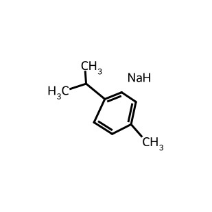 Cc1ccc(C(C)C)cc1.[NaH]